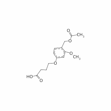 COc1cc(OCCCC(=O)O)ccc1COC(C)=O